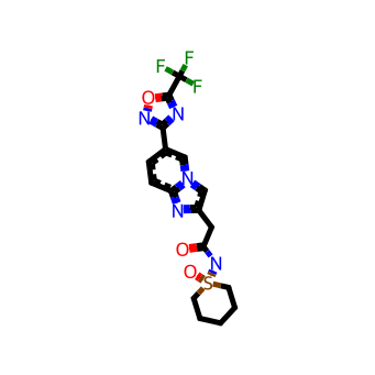 O=C(Cc1cn2cc(-c3noc(C(F)(F)F)n3)ccc2n1)N=S1(=O)CCCCC1